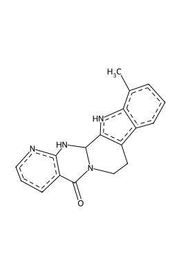 Cc1cccc2c3c([nH]c12)C1Nc2ncccc2C(=O)N1CC3